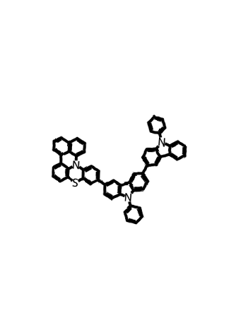 c1ccc(-n2c3ccccc3c3cc(-c4ccc5c(c4)c4cc(-c6ccc7c(c6)sc6cccc8c6-n7c6cccc7cccc8c76)ccc4n5-c4ccccc4)ccc32)cc1